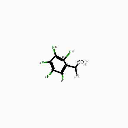 CCC(c1c(F)c(F)c(F)c(F)c1F)S(=O)(=O)O